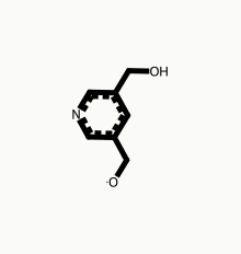 [O]Cc1cncc(CO)c1